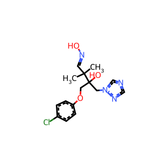 CC(C)(C=NO)C(O)(COc1ccc(Cl)cc1)Cn1cncn1